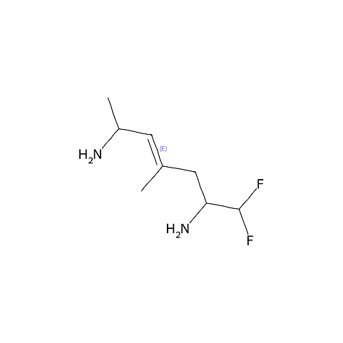 C/C(=C\C(C)N)CC(N)C(F)F